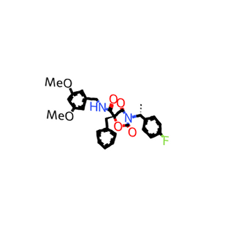 COc1cc(CNC(=O)[C@@]2(Cc3ccccc3)OC(=O)N([C@H](C)c3ccc(F)cc3)C2=O)cc(OC)c1